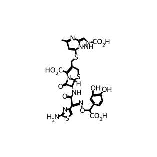 CC1=NC2=CN(C(=O)O)NN2C(SCC2=C(C(=O)O)N3C(=O)[C@@H](NC(=O)C(=NOC(C(=O)O)c4ccc(O)c(O)c4)c4csc(N)n4)[C@H]3SC2)=C1